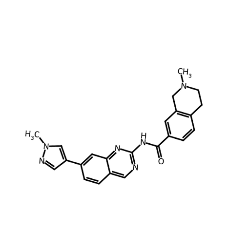 CN1CCc2ccc(C(=O)Nc3ncc4ccc(-c5cnn(C)c5)cc4n3)cc2C1